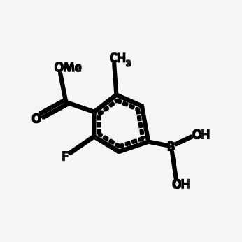 COC(=O)c1c(C)cc(B(O)O)cc1F